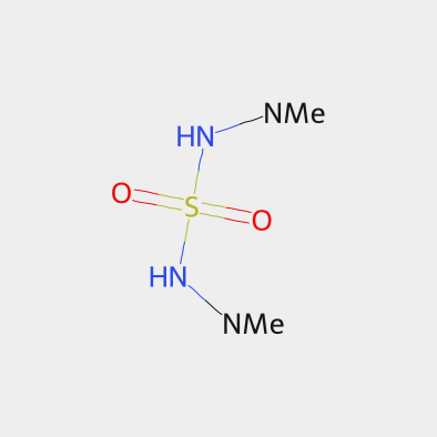 CNNS(=O)(=O)NNC